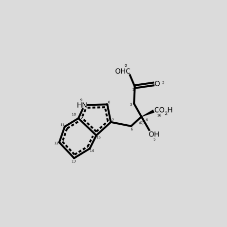 O=CC(=O)C[C@](O)(Cc1c[nH]c2ccccc12)C(=O)O